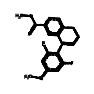 COC(=O)c1ccc2c(c1)C(c1c(F)cc(OC)cc1F)=CCC2